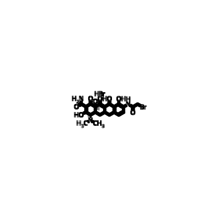 Br.CN(C)[C@@H]1C(O)=C(C(N)=O)C(=O)[C@@]2(O)C(O)=C3C(=O)c4c(ccc(NC(=O)CBr)c4O)CC3CC12